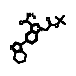 CC(C)(C)OC(=O)Cn1cc(C(N)=O)c2cc(-c3cnc4n3CCCC4)ccc21